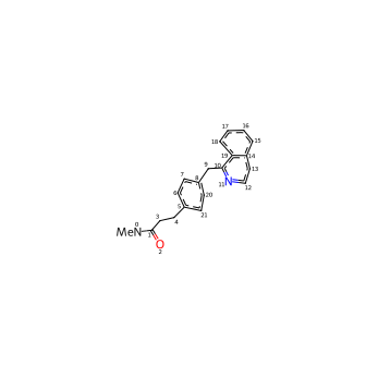 CNC(=O)CCc1ccc(Cc2nccc3ccccc23)cc1